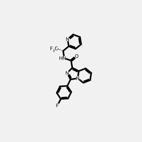 O=C(N[C@@H](c1ccccn1)C(F)(F)F)c1nc(-c2ccc(F)cc2)n2ccccc12